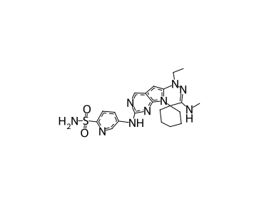 CCN1N=C(NC)C2(CCCCC2)n2c1cc1cnc(Nc3ccc(S(N)(=O)=O)nc3)nc12